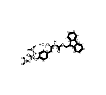 CN(C)OP(=O)(Oc1ccc(C[C@H](NC(=O)OCC2c3ccccc3-c3ccccc32)C(=O)O)cc1)ON(C)C